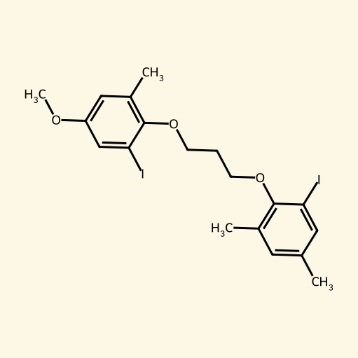 COc1cc(C)c(OCCCOc2c(C)cc(C)cc2I)c(I)c1